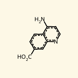 Nc1ccnc2cc(C(=O)O)ccc12